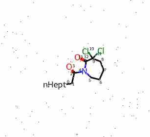 CCCCCCCCC(=O)N1CCCCC(Cl)(Cl)C1=O